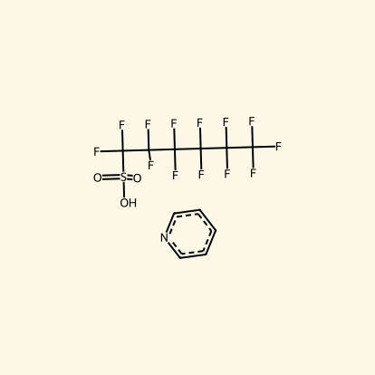 O=S(=O)(O)C(F)(F)C(F)(F)C(F)(F)C(F)(F)C(F)(F)C(F)(F)F.c1ccncc1